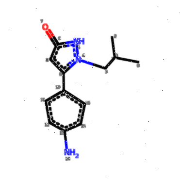 C[C](C)Cn1[nH]c(=O)cc1-c1ccc(N)cc1